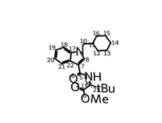 COC(=O)[C@@H](NC(=O)c1cn(CC2CCCCC2)c2ccccc12)C(C)(C)C